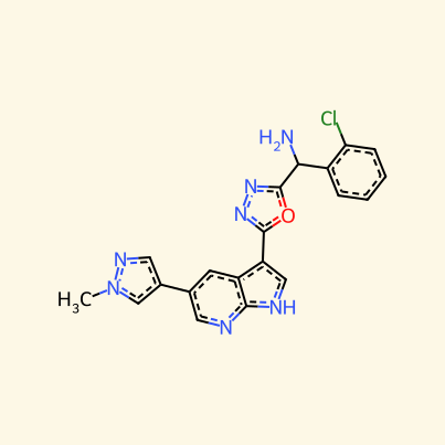 Cn1cc(-c2cnc3[nH]cc(-c4nnc(C(N)c5ccccc5Cl)o4)c3c2)cn1